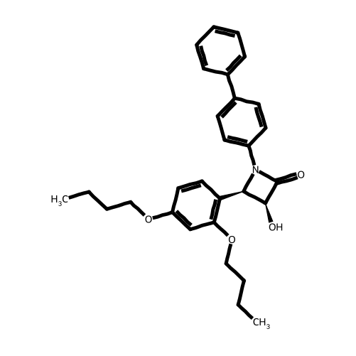 CCCCOc1ccc([C@@H]2[C@H](O)C(=O)N2c2ccc(-c3ccccc3)cc2)c(OCCCC)c1